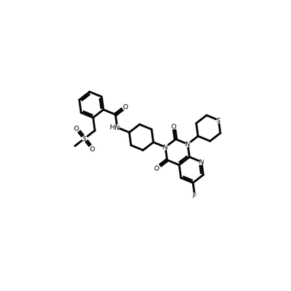 CS(=O)(=O)Cc1ccccc1C(=O)NC1CCC(n2c(=O)c3cc(F)cnc3n(C3CCSCC3)c2=O)CC1